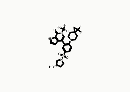 [2H]C([2H])([2H])n1cc(-c2cc(S(=O)(=O)N3CC[C@H](O)C3)ccc2N2CCC3(CC2)CC3(F)F)c2cc[nH]c2c1=O